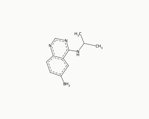 Bc1ccc2ncnc(NC(C)C)c2c1